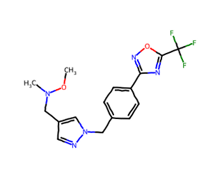 CON(C)Cc1cnn(Cc2ccc(-c3noc(C(F)(F)F)n3)cc2)c1